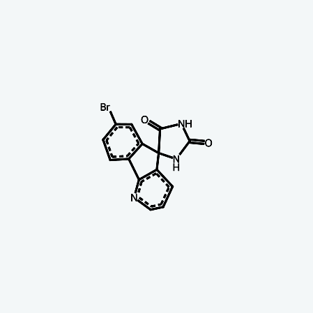 O=C1NC(=O)C2(N1)c1cc(Br)ccc1-c1ncccc12